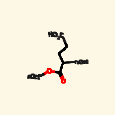 CCCCCCCCOC(=O)C(CCCCCCCC)CCC(=O)O